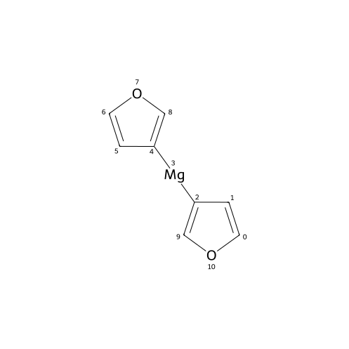 c1c[c]([Mg][c]2ccoc2)co1